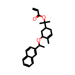 C=CC(=O)OC(C)(C)C1CC=C(C)C(OC(C)c2ccc3ccccc3c2)C1